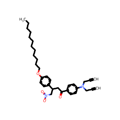 C#CCN(CC#C)c1ccc(C(=O)CC(C[N+](=O)[O-])c2ccc(OCCCCCCCCCCCC)cc2)cc1